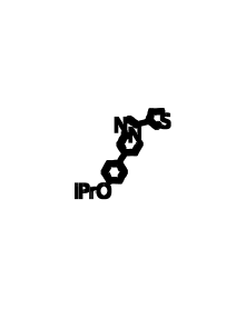 CC(C)Oc1ccc(-c2ccn3c(-c4ccsc4)cnc3c2)cc1